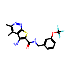 Cc1nnc2sc(C(=O)NCc3cccc(OC(F)(F)F)c3)c(N)c2c1C